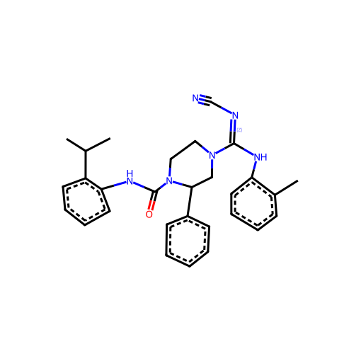 Cc1ccccc1N/C(=N/C#N)N1CCN(C(=O)Nc2ccccc2C(C)C)C(c2ccccc2)C1